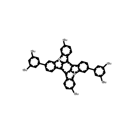 CC(C)(C)c1cc(-c2ccc3c4c5c6ccc(C(C)(C)C)cc6n6c7cc(-c8cc(C(C)(C)C)cc(C(C)(C)C)c8)ccc7c(c7c8ccc(C(C)(C)C)cc8n(c3c2)c47)c56)cc(C(C)(C)C)c1